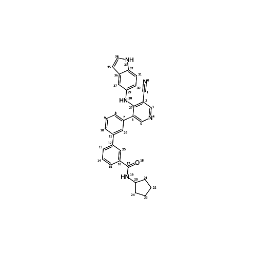 N#Cc1cncc(-c2cccc(-c3cccc(C(=O)NC4CCCC4)c3)c2)c1Nc1ccc2[nH]ccc2c1